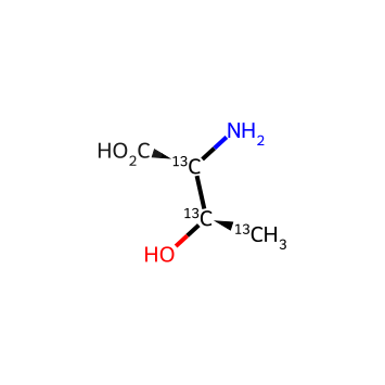 [13CH3][13C@@H](O)[13C@H](N)[13C](=O)O